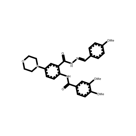 COc1ccc(C=NNC(=O)c2cc(N3CCOCC3)ccc2NC(=O)c2ccc(OC)c(OC)c2)cc1